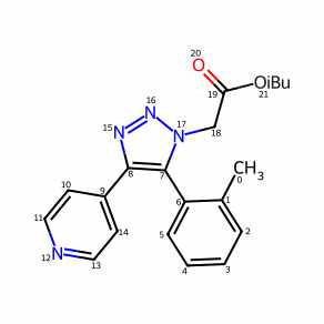 Cc1ccccc1-c1c(-c2ccncc2)nnn1CC(=O)OCC(C)C